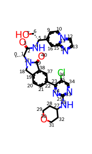 C[C@H](C(=O)N[C@H](CO)c1ccn2ccnc2c1)N1Cc2ccc(-c3nc(NC4CCOCC4)ncc3Cl)cc2C1=O